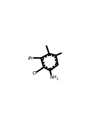 Cc1cc(N)c(Cl)c(C(C)C)c1C